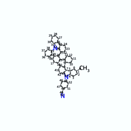 Cc1ccc2c(c1)c1c(-c3ccccc3-c3ccccc3-c3cccc4c5ccccc5n(-c5ccccc5)c34)cccc1n2-c1ccc(C#N)cc1